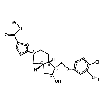 Cc1cc(OC[C@@H]2[C@H]3CC[C@H](c4ccc(C(=O)OC(C)C)o4)C[C@H]3C[C@H]2O)ccc1Cl